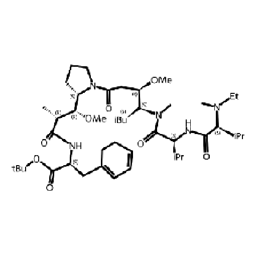 CC[C@H](C)[C@@H]([C@@H](CC(=O)N1CCC[C@H]1[C@H](OC)[C@@H](C)C(=O)N[C@@H](CC1=CC=CCC1)C(=O)OC(C)(C)C)OC)N(C)C(=O)[C@@H](NC(=O)[C@H](C(C)C)N(C)CC)C(C)C